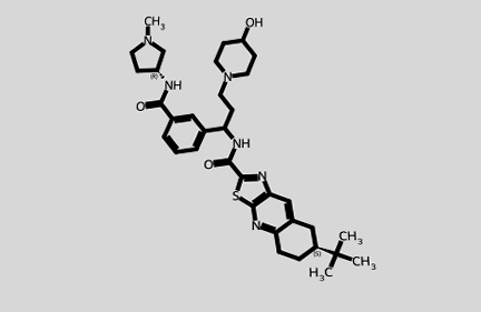 CN1CC[C@@H](NC(=O)c2cccc(C(CCN3CCC(O)CC3)NC(=O)c3nc4cc5c(nc4s3)CC[C@H](C(C)(C)C)C5)c2)C1